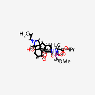 C=CCN1CC23Cc4ccc(OP(=O)(COC)N[C@@H](C)C(=O)OC(C)C)c5c4C24[C@@H](O5)C(=O)CC[C@@]4(O)[C@H]13